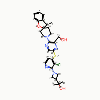 C[C@@H]1c2ccccc2OC12CCN(c1ncc(Sc3ccnc(N4CC(C(C)(C)O)C4)c3Cl)nc1CO)CC2